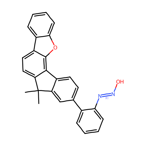 CC1(C)c2cc(-c3ccccc3/N=N/O)ccc2-c2c1ccc1c2oc2ccccc21